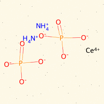 O=P([O-])([O-])[O-].O=P([O-])([O-])[O-].[Ce+4].[NH4+].[NH4+]